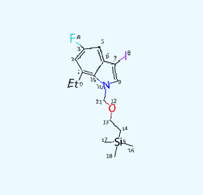 CCc1cc(F)cc2c(I)cn(COCC[Si](C)(C)C)c12